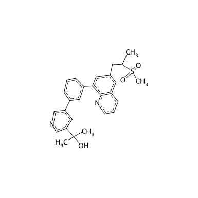 CC(Cc1cc(-c2cccc(-c3cncc(C(C)(C)O)c3)c2)c2ncccc2c1)S(C)(=O)=O